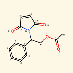 CC(=O)OCC(c1ccccc1)N1C(=O)C=CC1=O